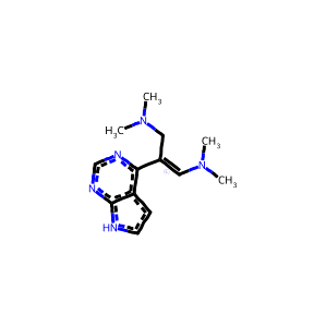 CN(C)/C=C(\CN(C)C)c1ncnc2[nH]ccc12